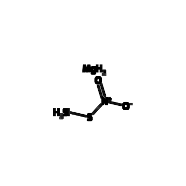 O=[N+]([O-])S[SiH3].[MgH2]